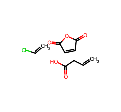 C=CCC(=O)O.C=CCl.O=C1C=CC(=O)O1